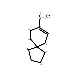 CCOC(=O)C1=CCC2(CCCC2)CC1